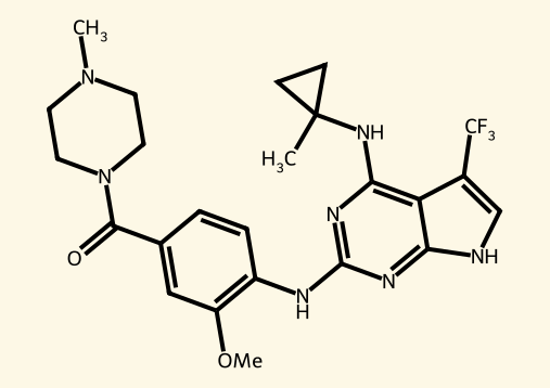 COc1cc(C(=O)N2CCN(C)CC2)ccc1Nc1nc(NC2(C)CC2)c2c(C(F)(F)F)c[nH]c2n1